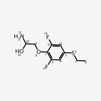 CCSc1cc(F)c(OCC(N)O)c(F)c1